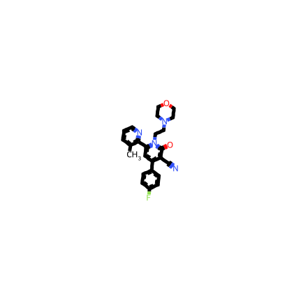 Cc1cccnc1-c1cc(-c2ccc(F)cc2)c(C#N)c(=O)n1CCN1CCOCC1